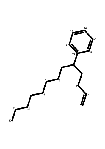 C=CCCC(CCCCCCCC)c1ccccc1